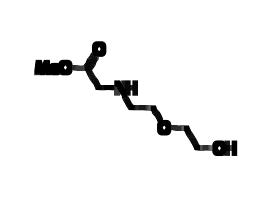 COC(=O)CNCCOCCO